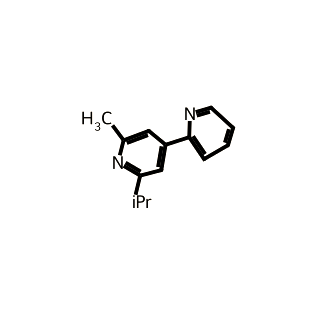 Cc1cc(-c2ccccn2)cc(C(C)C)n1